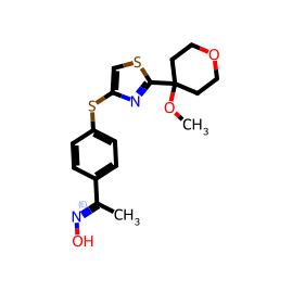 COC1(c2nc(Sc3ccc(/C(C)=N/O)cc3)cs2)CCOCC1